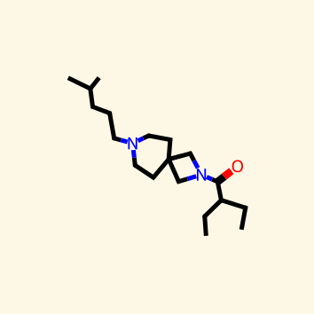 CCC(CC)C(=O)N1CC2(CCN(CCCC(C)C)CC2)C1